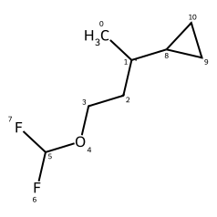 C[C](CCOC(F)F)C1CC1